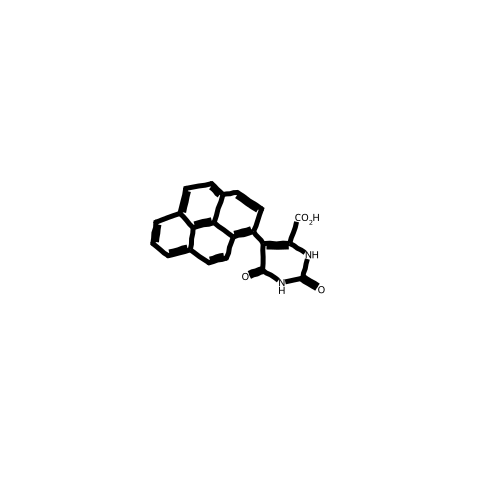 O=C(O)c1[nH]c(=O)[nH]c(=O)c1-c1ccc2ccc3cccc4ccc1c2c34